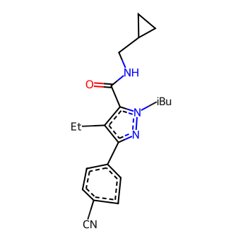 CCc1c(-c2ccc(C#N)cc2)nn(C(C)CC)c1C(=O)NCC1CC1